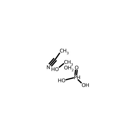 CC#N.CO.O.O=[PH](O)O